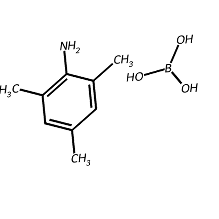 Cc1cc(C)c(N)c(C)c1.OB(O)O